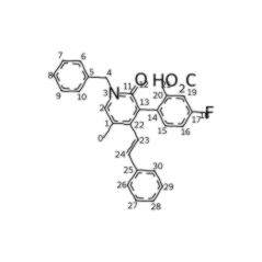 Cc1cn(Cc2ccccc2)c(=O)c(-c2ccc(F)cc2C(=O)O)c1/C=C/c1ccccc1